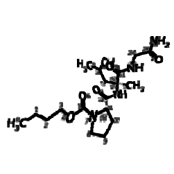 CCCCOC(=O)N1CCC[C@H]1C(=O)N[C@@](C)(CC(C)C)C(=O)NCC(N)=O